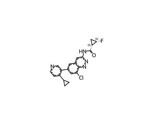 O=C(Nc1cc2cc(-c3cnccc3C3CC3)cc(Cl)c2nn1)[C@@H]1C[C@@H]1F